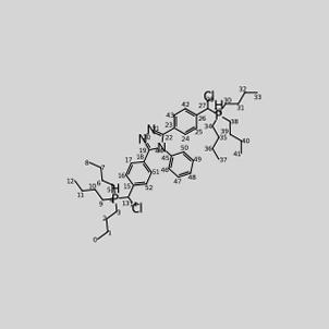 CCCC[PH](CCCC)(CCCC)C(Cl)c1ccc(-c2nnc(-c3ccc(C(Cl)[PH](CCCC)(CCCC)CCCC)cc3)n2-c2ccccc2)cc1